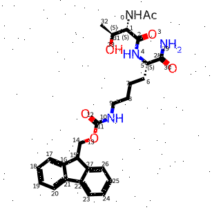 CC(=O)N[C@H](C(=O)N[C@@H](CCCCNC(=O)OCC1c2ccccc2-c2ccccc21)C(N)=O)[C@H](C)O